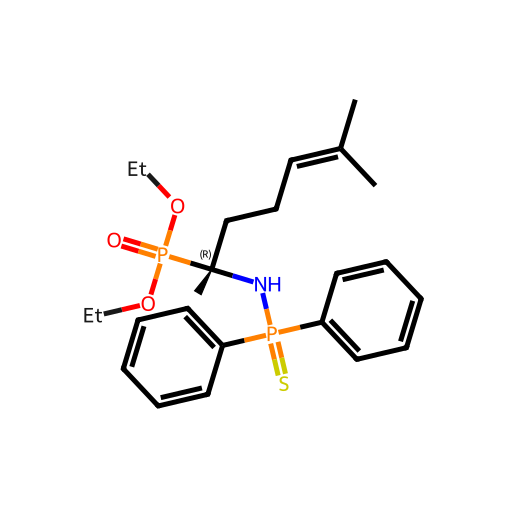 CCOP(=O)(OCC)[C@](C)(CCC=C(C)C)NP(=S)(c1ccccc1)c1ccccc1